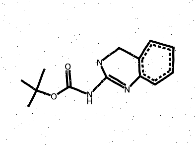 CC(C)(C)OC(=O)NC1=Nc2ccccc2C[N]1